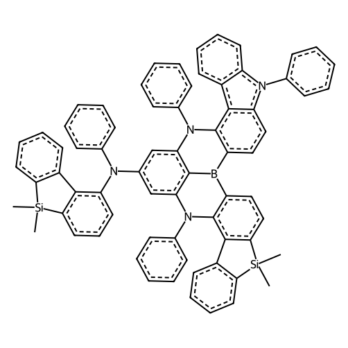 C[Si]1(C)c2ccccc2-c2c(N(c3ccccc3)c3cc4c5c(c3)N(c3ccccc3)c3c(ccc6c3c3ccccc3n6-c3ccccc3)B5c3ccc5c(c3N4c3ccccc3)-c3ccccc3[Si]5(C)C)cccc21